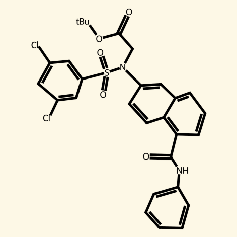 CC(C)(C)OC(=O)CN(c1ccc2c(C(=O)Nc3ccccc3)cccc2c1)S(=O)(=O)c1cc(Cl)cc(Cl)c1